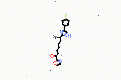 CC(C)C(CCCCCC(=O)c1ncco1)c1nc(-c2ccc(F)cc2)c[nH]1